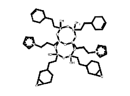 C[Si]1(CCC2CC=CCC2)O[Si](O)(CCC2CC=CCC2)O[Si]2(CCCn3cccc3)O[Si](O)(CCC3CCC4OC4C3)O[Si](O)(CCC3CCC4OC4C3)O[Si](CCCn3cccc3)(O1)O2